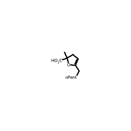 CCCCCCC1=CCC(C)(C(=O)O)O1